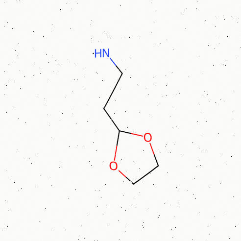 [NH]CCC1OCCO1